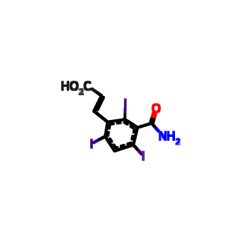 NC(=O)c1c(I)cc(I)c(C=CC(=O)O)c1I